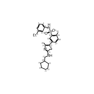 CCc1cccc(NS(=O)(=O)c2cc(-c3sc(NCC4CCCCC4)nc3C)ccc2C)c1